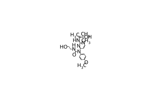 COc1ccc(N(C(=O)NCCO)c2ccnc(N[C@@H](C)C(C)(C)O)n2)cc1